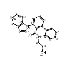 O=C(c1ccccc1-n1ncc2c1N=CNC2)N(CCO)c1ccccc1